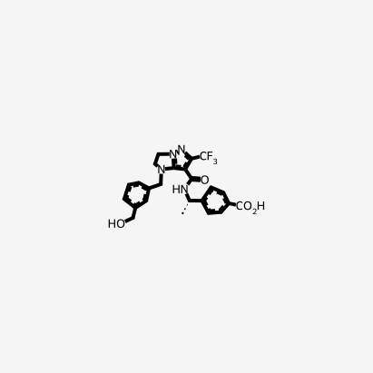 C[C@H](NC(=O)c1c(C(F)(F)F)nn2c1N(Cc1cccc(CO)c1)CC2)c1ccc(C(=O)O)cc1